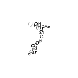 COc1cc2nc([C@H]3CC[C@H](CN4CC5(CCN(c6cccc7c6n(C)c(=O)n7C6CCC(=O)NC6=O)CC5)C4)CC3)sc2cc1NC(=O)c1cccc(C(F)(F)F)n1